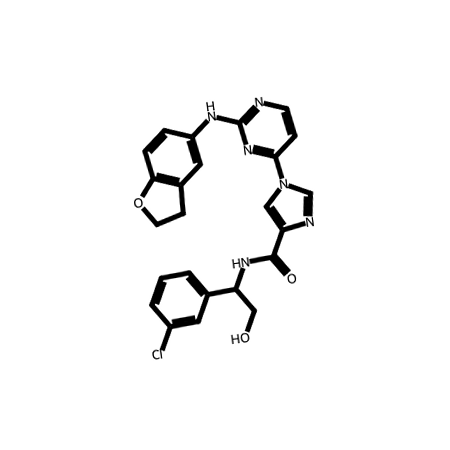 O=C(NC(CO)c1cccc(Cl)c1)c1cn(-c2ccnc(Nc3ccc4c(c3)CCO4)n2)cn1